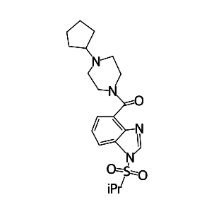 CC(C)S(=O)(=O)n1cnc2c(C(=O)N3CCN(C4CCCC4)CC3)cccc21